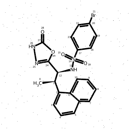 C[C@H](c1cccc2ccccc12)[C@H](NS(=O)(=O)c1ccc(Br)cc1)c1n[nH]c(=O)o1